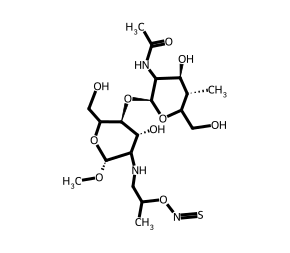 CO[C@@H]1OC(CO)[C@@H](O[C@@H]2OC(CO)[C@@H](C)[C@H](O)C2NC(C)=O)[C@H](O)C1NCC(C)ON=S